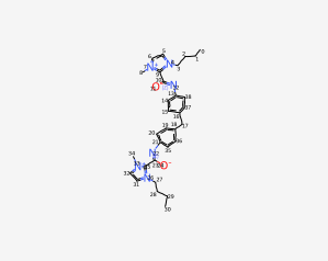 CCCCn1cc[n+](C)c1/C([O-])=N/c1ccc(Cc2ccc(/N=C(\[O-])c3n(CCCC)cc[n+]3C)cc2)cc1